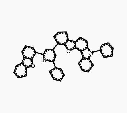 c1ccc(-c2cc(-c3cccc4c3oc3c4ccc4c3c3ccccc3n4-c3ccccc3)cc(-c3cccc4c3oc3ccccc34)n2)cc1